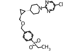 CCS(=O)(=O)c1ccc(COC[C@H]2C[C@@H]2C2CCN(c3ncc(Cl)cn3)CC2)cc1